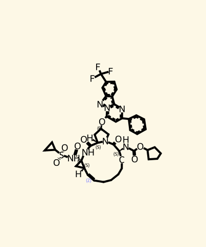 O=C(N[C@H]1CCCCC/C=C\[C@@H]2C[C@@]2(C(=O)NS(=O)(=O)C2CC2)NC(=O)[C@@H]2C[C@@H](Oc3cc(-c4ccccc4)nc4c5ccc(C(F)(F)F)cc5nn34)CN2C1=O)OC1CCCC1